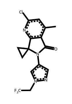 Cc1cc(Cl)nc2c1C(=O)N(c1cnn(CC(F)(F)F)c1)C21CC1